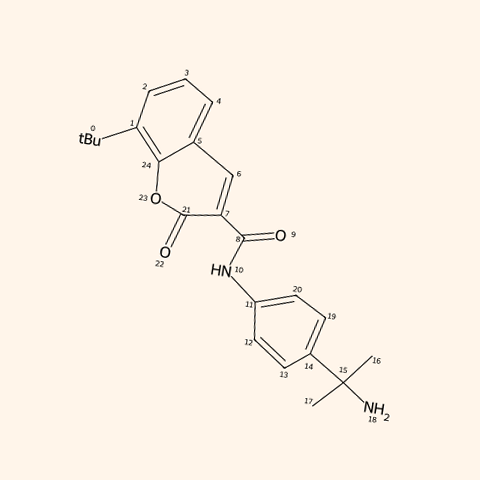 CC(C)(C)c1cccc2cc(C(=O)Nc3ccc(C(C)(C)N)cc3)c(=O)oc12